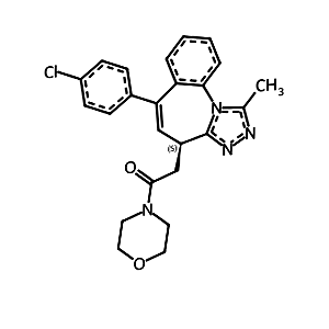 Cc1nnc2n1-c1ccccc1C(c1ccc(Cl)cc1)=C[C@@H]2CC(=O)N1CCOCC1